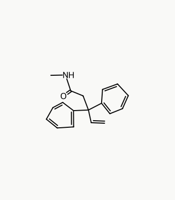 C=CC(CC(=O)NC)(c1ccccc1)c1ccccc1